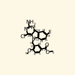 COC(=O)c1ccc(OC)c(Cn2c3ccc(F)cc3c3nc(N)nc(Cl)c32)c1